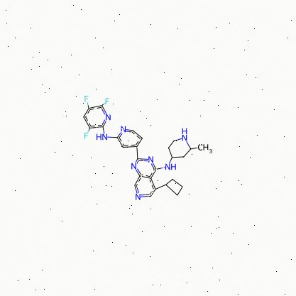 CC1CC(Nc2nc(-c3ccnc(Nc4nc(F)c(F)cc4F)c3)nc3cncc(C4CCC4)c23)CCN1